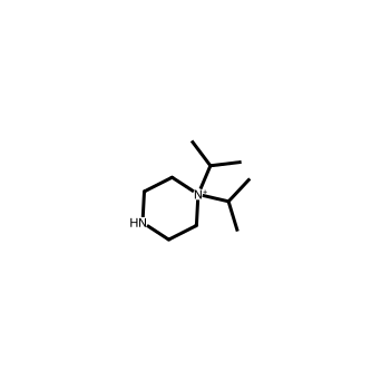 CC(C)[N+]1(C(C)C)CCNCC1